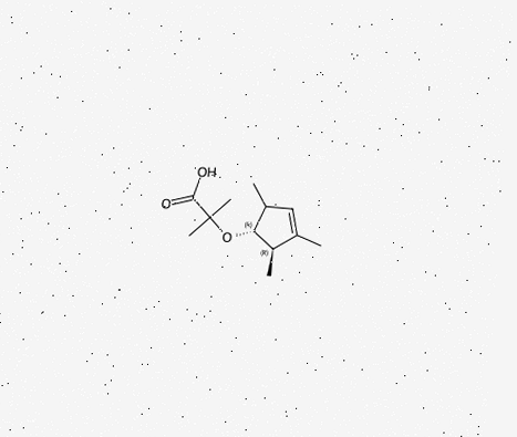 CC1=CC(C)[C@@H](OC(C)(C)C(=O)O)[C@@H]1C